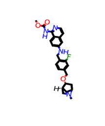 COC(=O)Nc1nccc2cc(NCc3ccc(CO[C@H]4CC5C[C@H]4CN5C)cc3F)ccc12